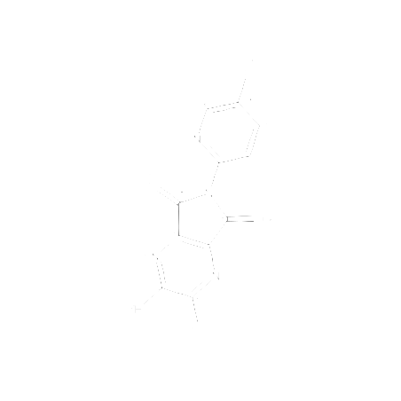 [2H]c1nc2c(nc1[2H])C(=O)N(c1ccc(Cl)cn1)C2=O